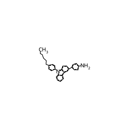 CCCCCCc1ccc(-n2c3ccccc3c3cc(-c4ccc(N)cc4)ccc32)cc1